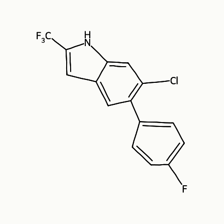 Fc1ccc(-c2cc3cc(C(F)(F)F)[nH]c3cc2Cl)cc1